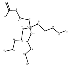 C=C(C)COC[Si](OCCCC)(OCCCC)OCCCC